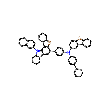 c1ccc(-c2ccc(N(c3ccc(-c4cc5c6ccccc6n(-c6ccc7ccccc7c6)c5c5c4sc4ccccc45)cc3)c3ccc4sc5ccccc5c4c3)cc2)cc1